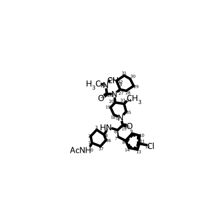 CC(=O)NC1CCC(N[C@H](Cc2ccc(Cl)cc2)C(=O)N2CCC(N(C(=O)N(C)C)C3CCCCC3)C(C)C2)CC1